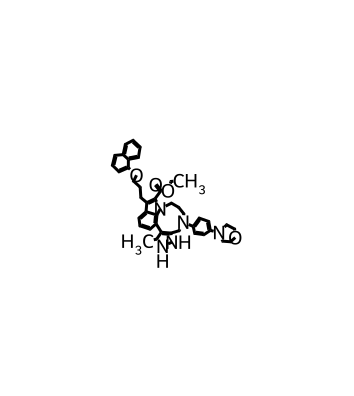 CCOC(=O)c1c(CCCOc2cccc3ccccc23)c2cccc3c2n1CCCN(c1ccc(N2CCOCC2)cc1)CC1=C3C(C)NN1